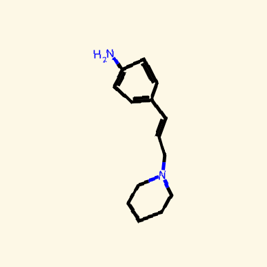 Nc1ccc(/C=C/CN2CCCCC2)cc1